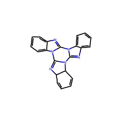 C1=CC2N=C3N(c4nc5ccccc5n4-c4nc5ccccc5n43)C2C=C1